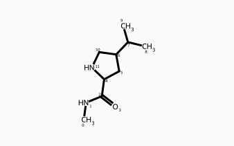 CNC(=O)C1CC(C(C)C)CN1